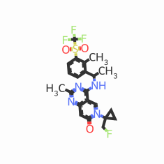 Cc1nc(NC(C)c2cccc(S(=O)(=O)C(F)(F)F)c2C)c2cn(C3(CF)CC3)c(=O)cc2n1